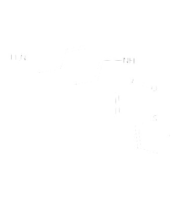 Cc1ccsc1C=C1C(=O)Nc2ccc(CN)cc21